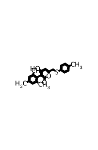 Cc1ccc(SCc2cc(O)c(-c3c(C)cc(C)cc3C)c(=O)o2)cc1